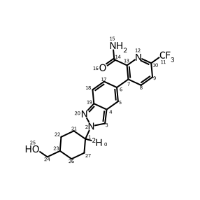 [2H]C1(n2cc3cc(-c4ccc(C(F)(F)F)nc4C(N)=O)ccc3n2)CCC(CO)CC1